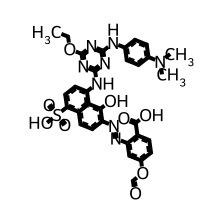 CCOc1nc(Nc2ccc(N(C)C)cc2)nc(Nc2ccc(S(=O)(=O)O)c3ccc(N=Nc4cc(OC=O)ccc4C(=O)O)c(O)c23)n1